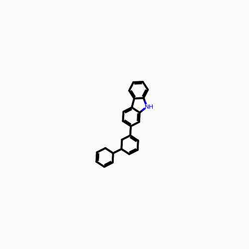 C1=CCC(C2C=CC=C(c3ccc4c(c3)[nH]c3ccccc34)C2)C=C1